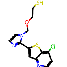 SCCOCn1ccnc1-c1cc2nccc(Cl)c2s1